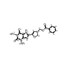 CCCn1c(=O)c2[nH]c(C3=CN(COC(=O)c4ccccc4)CO3)nc2n(CCC)c1=O